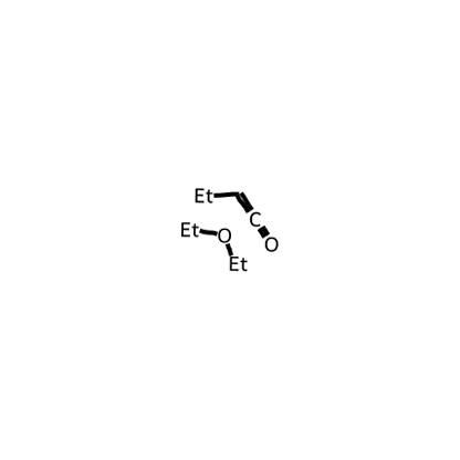 CCC=C=O.CCOCC